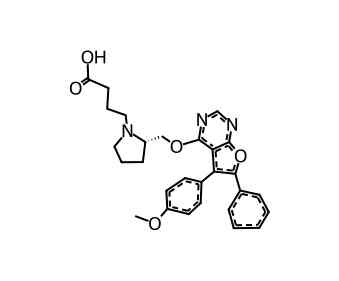 COc1ccc(-c2c(-c3ccccc3)oc3ncnc(OC[C@@H]4CCCN4CCCC(=O)O)c23)cc1